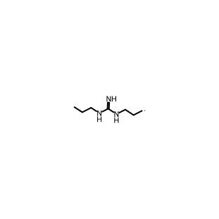 [CH2]CCNC(=N)NCCC